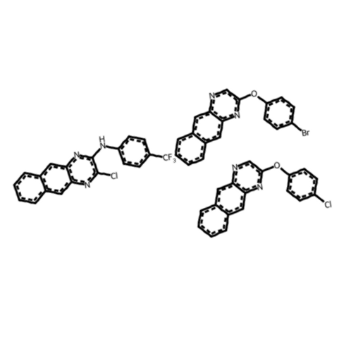 Brc1ccc(Oc2cnc3cc4ccccc4cc3n2)cc1.Clc1ccc(Oc2cnc3cc4ccccc4cc3n2)cc1.FC(F)(F)c1ccc(Nc2nc3cc4ccccc4cc3nc2Cl)cc1